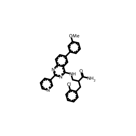 COc1cccc(-c2ccc3nc(-c4cccnc4)nc(NCC(Cc4ccccc4Cl)C(N)=O)c3c2)c1